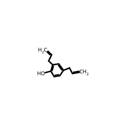 C=CCc1c[c]c(O)c(CC=C)c1